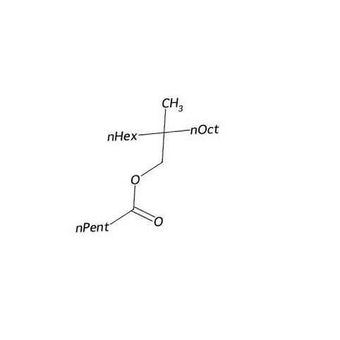 CCCCCCCCC(C)(CCCCCC)COC(=O)CCCCC